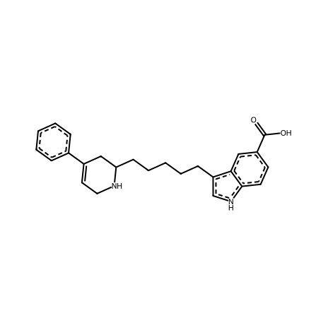 O=C(O)c1ccc2[nH]cc(CCCCCC3CC(c4ccccc4)=CCN3)c2c1